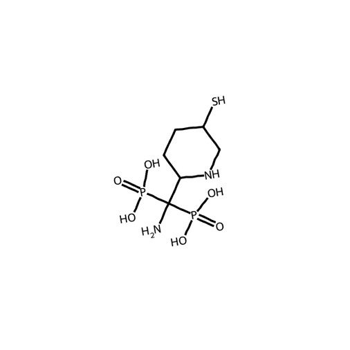 NC(C1CCC(S)CN1)(P(=O)(O)O)P(=O)(O)O